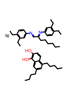 CCCCCCC(C=Nc1ccc(CC)c(CC)c1)=Nc1ccc(CC)c(CC)c1.CCCCCc1cc(CCCC)cc2c(O)c(O)ccc12.[Ni]